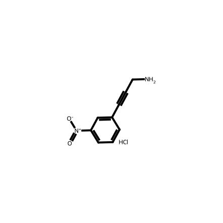 Cl.NCC#Cc1cccc([N+](=O)[O-])c1